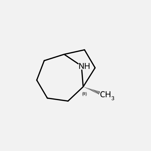 C[C@@]12CCCCC(CC1)N2